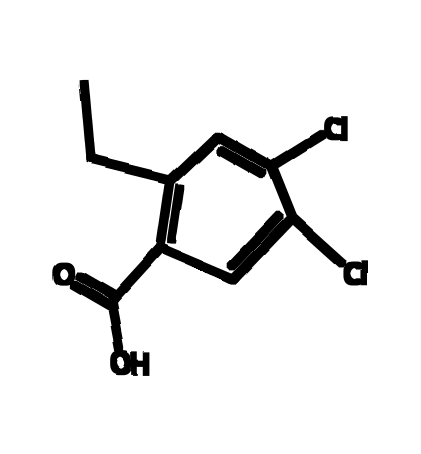 CCc1cc(Cl)c(Cl)cc1C(=O)O